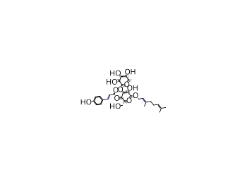 CC(C)=CCC/C(C)=C/CO[C@@H]1O[C@H](CO)[C@@H](OC(=O)/C=C/c2ccc(O)cc2)[C@H](O[C@@H]2O[C@@H](C)[C@H](O)[C@@H](O)[C@H]2O)[C@H]1O